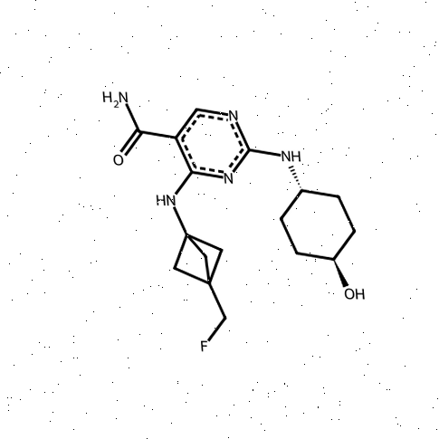 NC(=O)c1cnc(N[C@H]2CC[C@H](O)CC2)nc1NC12CC(CF)(C1)C2